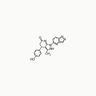 CC1=C2C(=NC(=O)CC2c2ccc(O)cc2)N(c2ccc3nncn3n2)N1